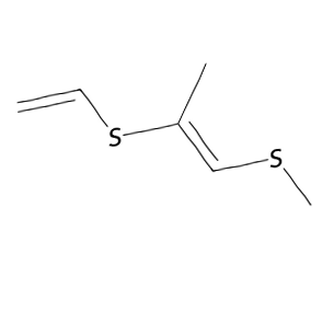 C=CS/C(C)=C/SC